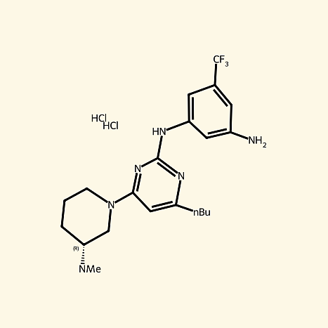 CCCCc1cc(N2CCC[C@@H](NC)C2)nc(Nc2cc(N)cc(C(F)(F)F)c2)n1.Cl.Cl